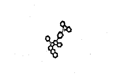 c1ccc(-n2c3ccc4cc5ccccc5cc4c3c3c4ccccc4c(-c4ccc(-n5c6ccccc6c6ccccc65)cc4)cc32)cc1